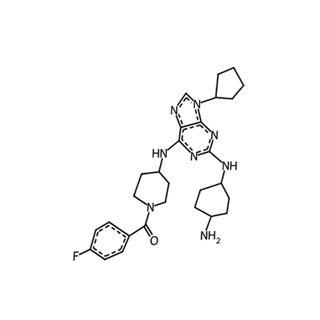 NC1CCC(Nc2nc(NC3CCN(C(=O)c4ccc(F)cc4)CC3)c3ncn(C4CCCC4)c3n2)CC1